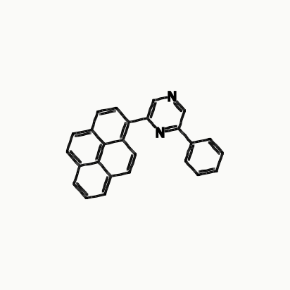 c1ccc(-c2cncc(-c3ccc4ccc5cccc6ccc3c4c56)n2)cc1